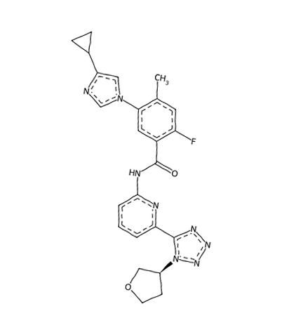 Cc1cc(F)c(C(=O)Nc2cccc(-c3nnnn3[C@H]3CCOC3)n2)cc1-n1cnc(C2CC2)c1